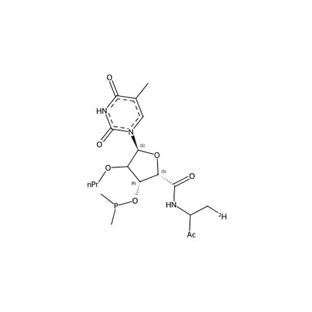 [2H]CC(NC(=O)[C@H]1O[C@H](n2cc(C)c(=O)[nH]c2=O)C(OCCC)[C@H]1OP(C)C)C(C)=O